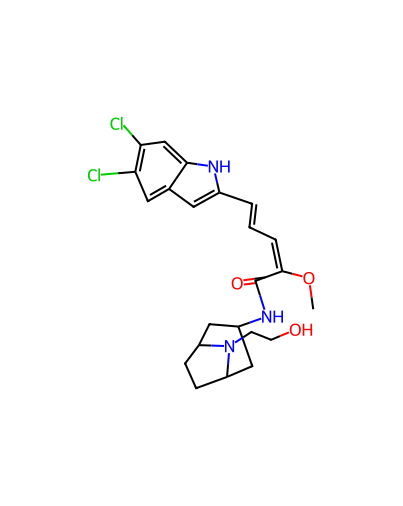 CO/C(=C/C=C/c1cc2cc(Cl)c(Cl)cc2[nH]1)C(=O)NC1CC2CCC(C1)N2CCO